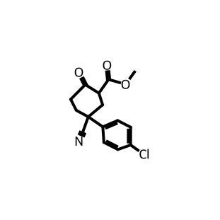 COC(=O)C1CC(C#N)(c2ccc(Cl)cc2)CCC1=O